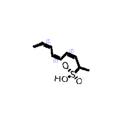 C\C=C/C=C\C=C/C(C)S(=O)(=O)O